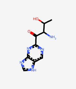 CC(O)C(N)C(=O)c1ncc2[nH]cnc2n1